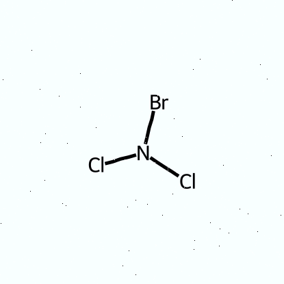 ClN(Cl)Br